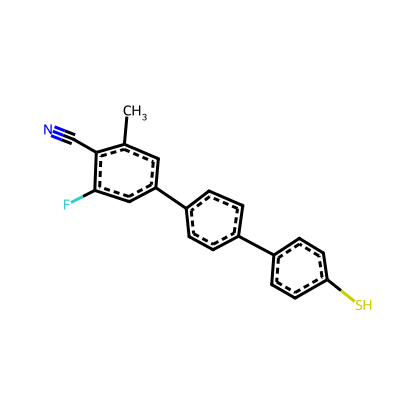 Cc1cc(-c2ccc(-c3ccc(S)cc3)cc2)cc(F)c1C#N